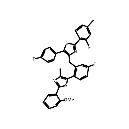 COc1ccccc1-c1nc(C)c(-c2ccc(F)cc2Cc2nc(-c3ccc(C)cc3F)sc2-c2ccc(F)cc2)s1